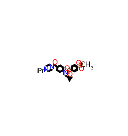 CC(C)N1CCN(C(=O)C2CCC(N(CC3CC3)S(=O)(=O)c3ccc(S(C)(=O)=O)cc3)CC2)CC1